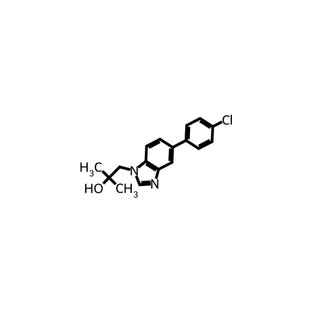 CC(C)(O)Cn1cnc2cc(-c3ccc(Cl)cc3)ccc21